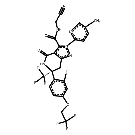 Cc1ccc(-n2nc3c(c2C(=O)NCC#N)C(=O)N[C@@](c2ccc(OCC(F)(F)F)cc2F)(C(F)(F)F)C3)nc1